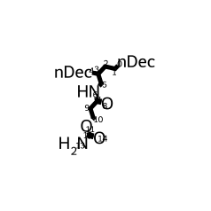 CCCCCCCCCCCCC(CCCCCCCCCC)CNC(=O)CCOC(N)=O